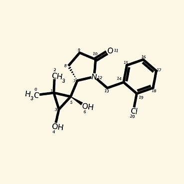 CC1(C)C(O)[C@@]1(O)[C@@H]1CCC(=O)N1Cc1ccccc1Cl